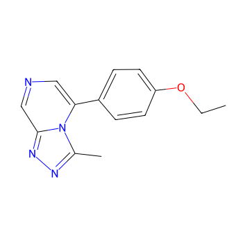 CCOc1ccc(-c2cncc3nnc(C)n23)cc1